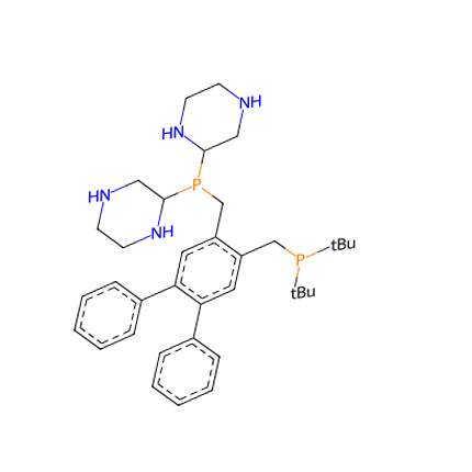 CC(C)(C)P(Cc1cc(-c2ccccc2)c(-c2ccccc2)cc1CP(C1CNCCN1)C1CNCCN1)C(C)(C)C